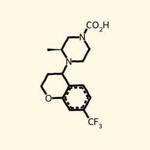 C[C@H]1CN(C(=O)O)CCN1C1CCOc2cc(C(F)(F)F)ccc21